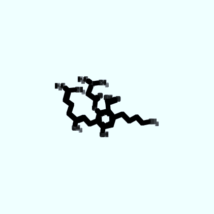 CCCCCc1cc(O)c(C/C=C(\C)CCC=C(C)C)c(OC(=O)CN(C)C)c1C(=O)O